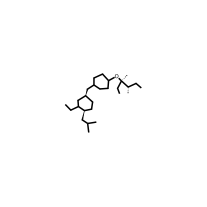 CCC1C[C@@H](CC2CCC(O[C@](C)(CC)[C@@H](C)CC)CC2)CC[C@H]1CC(C)C